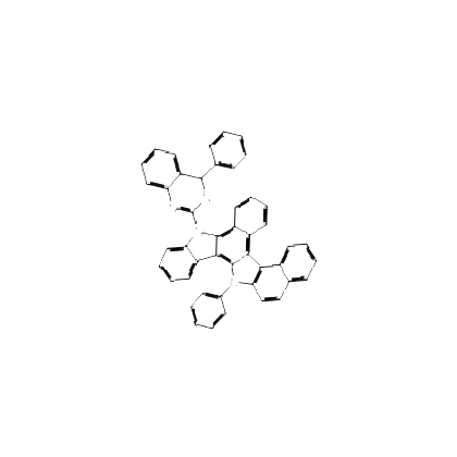 c1ccc(C2NC(n3c4ccccc4c4c3c3ccccc3c3c5c6ccccc6ccc5n(-c5ccccc5)c34)=Nc3ccccc32)cc1